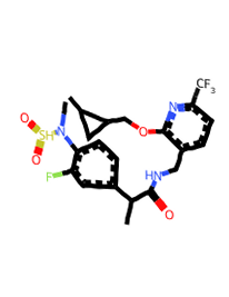 CC(C(=O)NCc1ccc(C(F)(F)F)nc1OCC1CC1C)c1ccc(N(C)[SH](=O)=O)c(F)c1